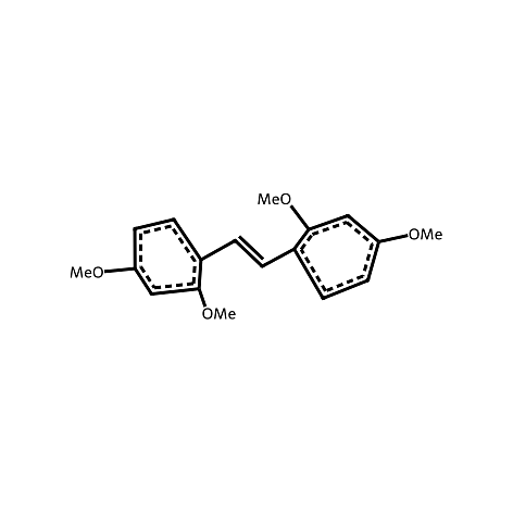 COc1ccc(C=Cc2ccc(OC)cc2OC)c(OC)c1